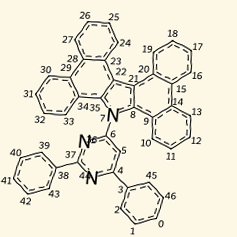 c1ccc(-c2cc(-n3c4c5ccccc5c5ccccc5c4c4c5ccccc5c5ccccc5c43)nc(-c3ccccc3)n2)cc1